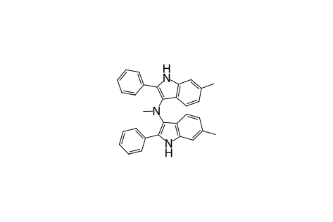 Cc1ccc2c(N(C)c3c(-c4ccccc4)[nH]c4cc(C)ccc34)c(-c3ccccc3)[nH]c2c1